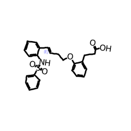 O=C(O)CCc1ccccc1OCC/C=C/c1ccccc1NS(=O)(=O)c1ccccc1